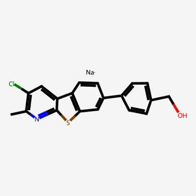 Cc1nc2sc3cc(-c4ccc(CO)cc4)ccc3c2cc1Cl.[Na]